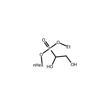 CCCCCCOP(=O)(OCC)C(O)CO